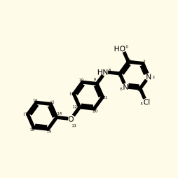 Oc1cnc(Cl)nc1Nc1ccc(Oc2ccccc2)cc1